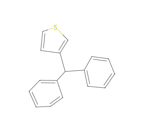 c1ccc(C(c2ccccc2)c2ccsc2)cc1